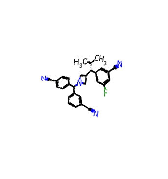 CC(C)[C@H](c1cc(F)cc(C#N)c1)C1CN(C(c2ccc(C#N)cc2)c2cccc(C#N)c2)C1